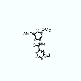 COc1cc(NC(=O)c2cncc(Cl)n2)cc(OC)c1